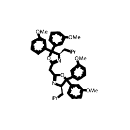 COc1cccc(C2(c3cccc(OC)c3)OC(CC3=N[C@H](CC(C)C)C(c4cccc(OC)c4)(c4cccc(OC)c4)O3)=N[C@@H]2CC(C)C)c1